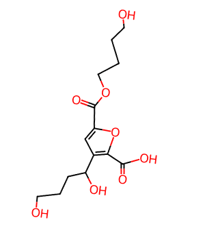 O=C(OCCCCO)c1cc(C(O)CCCO)c(C(=O)O)o1